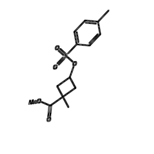 COC(=O)C1(C)CC(OS(=O)(=O)c2ccc(C)cc2)C1